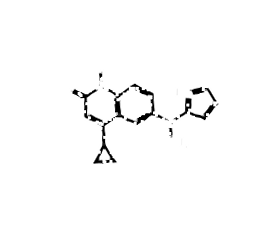 CCn1c(=O)cc(C2CC2)c2cc(N(C)C3=[PH]=CC=C3)ccc21